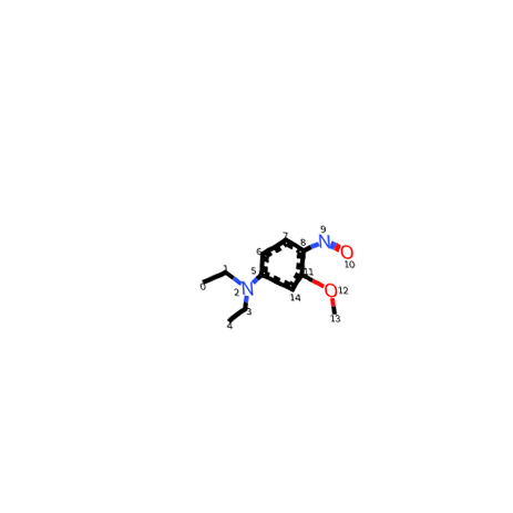 CCN(CC)c1ccc(N=O)c(OC)c1